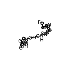 O=C(CN1CCN(c2cccc(-c3cnc4ccc(N5CCCC5c5cccc(F)c5)nn34)n2)CC1)NCCOCCOCCOCCNc1cccc2c1C(=O)N(C1CCC(=O)NC1=O)C2=O